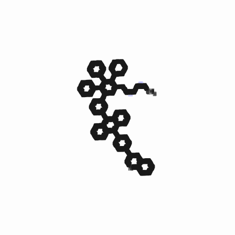 C/C=C\C=C/Cc1cc(-c2cccc(-c3c4ccccc4c(-c4ccc(-c5cnc6ccccc6c5)cc4)c4ccccc34)c2)c(-c2ccccc2)c(-c2ccccc2)c1C1=CCCC=C1